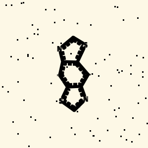 [c]1c2ncsc2[c]c2ncsc12